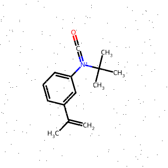 C=C(C)c1cccc([N+](=C=O)C(C)(C)C)c1